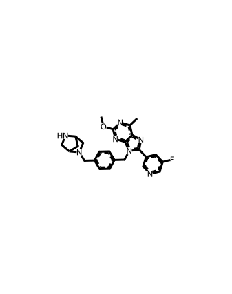 COc1nc(C)c2nc(-c3cncc(F)c3)n(Cc3ccc(CN4CC5CC4CN5)cc3)c2n1